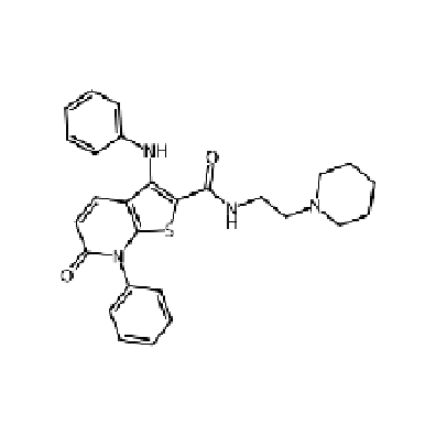 O=C(NCCN1CCCCC1)c1sc2c(ccc(=O)n2-c2ccccc2)c1Nc1ccccc1